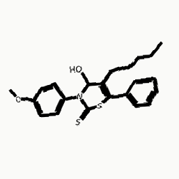 CCCCCC1=C(c2ccccc2)SC(=S)N(c2ccc(OC)cc2)C1O